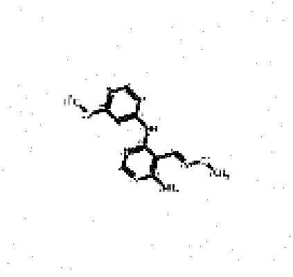 CO/N=C/c1c(N)ncnc1Nc1cccc(SC)c1